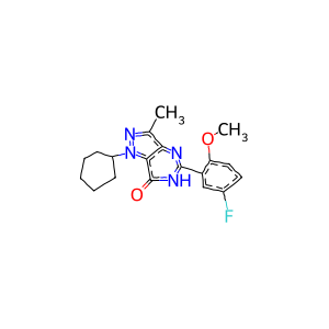 COc1ccc(F)cc1-c1nc2c(C)nn(C3CCCCC3)c2c(=O)[nH]1